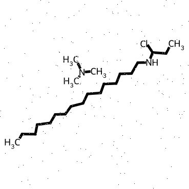 CCCCCCCCCCCCCCCCNC(Cl)CC.CN(C)C